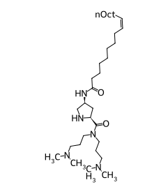 CCCCCCCC/C=C\CCCCCCCC(=O)N[C@@H]1CN[C@H](C(=O)N(CCCN(C)C)CCCN(C)C)C1